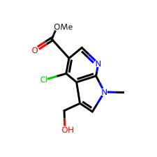 COC(=O)c1cnc2c(c(CO)cn2C)c1Cl